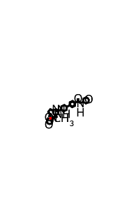 CC1(N2C3CCOCC32)NC(N2CCC(c3ccc(C(=O)NC4CCOCC4)cc3)CC2)=NC2=C1[S+]([O-])CC2